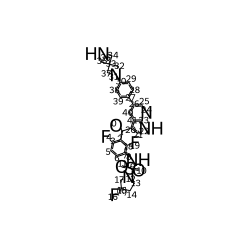 O=C(c1c(F)ccc(NS(=O)(=O)N2CC[C@@H](F)C2)c1F)c1c[nH]c2ncc(-c3ccc(N4CC5(CNC5)C4)cc3)cc12